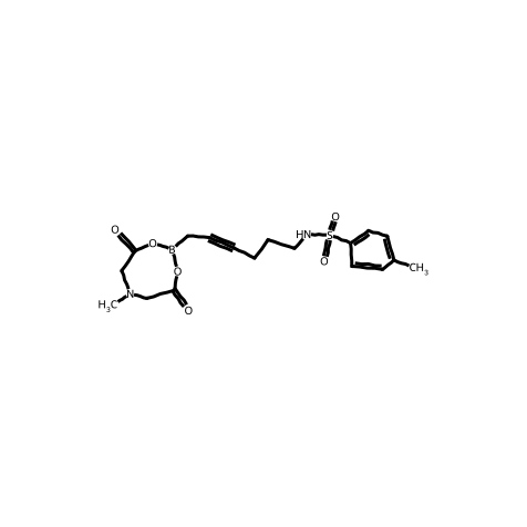 Cc1ccc(S(=O)(=O)NCCCC#CCB2OC(=O)CN(C)CC(=O)O2)cc1